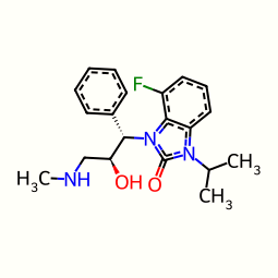 CNC[C@H](O)[C@H](c1ccccc1)n1c(=O)n(C(C)C)c2cccc(F)c21